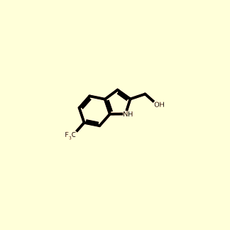 OCc1cc2ccc(C(F)(F)F)cc2[nH]1